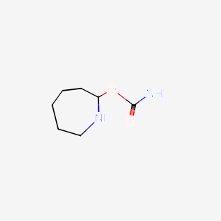 NC(=O)OC1CCCCCN1